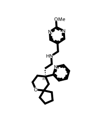 COc1ncc(CNCC[C@@]2(c3ccccn3)CCOC3(CCCC3)C2)cn1